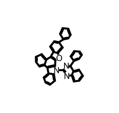 c1ccc(-c2ccc3c(c2)oc2c3c3ccccc3c3c4ccccc4n(-c4nc(-c5ccccc5)c5ccccc5n4)c23)cc1